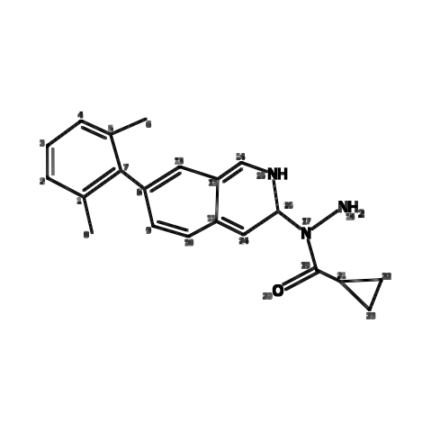 Cc1cccc(C)c1-c1ccc2c(c1)=CNC(N(N)C(=O)C1CC1)C=2